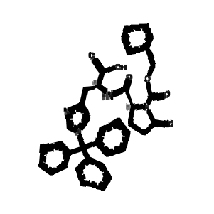 O=C(O)[C@H](Cc1cn(C(c2ccccc2)(c2ccccc2)c2ccccc2)cn1)NC(=O)[C@@H]1CCC(=O)N1C(=O)OCc1ccccc1